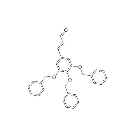 O=CC=Cc1cc(OCc2ccccc2)c(OCc2ccccc2)c(OCc2ccccc2)c1